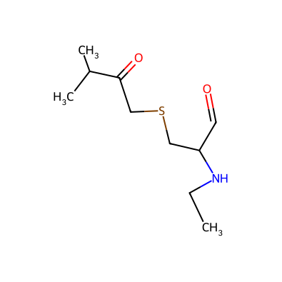 CCNC(C=O)CSCC(=O)C(C)C